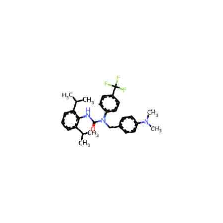 CC(C)c1cccc(C(C)C)c1NC(=O)N(Cc1ccc(N(C)C)cc1)c1ccc(C(F)(F)F)cc1